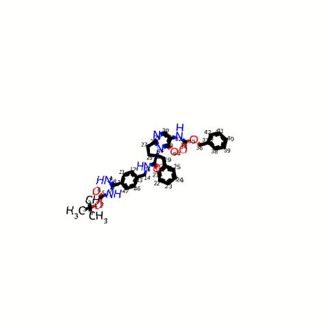 CC(C)(C)OC(=O)NC(=N)c1ccc(CNC(=O)C2(Cc3ccccc3)CCc3ncc(NC(=O)OCc4ccccc4)c(=O)n32)cc1